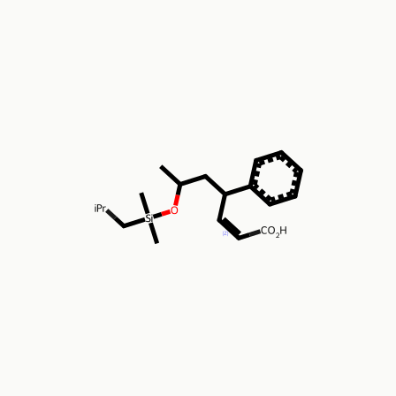 CC(C)C[Si](C)(C)OC(C)CC(/C=C\C(=O)O)c1ccccc1